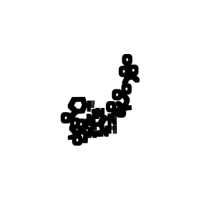 Cc1oc(=O)oc1COC(=O)CC(C)(C)OC(=O)Nc1nc(F)nc2c1ncn2C1CO[C@](C)(COC(=O)C2CCCCC2)[C@H]1O